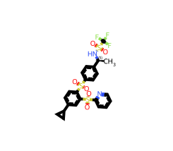 C[C@H](NS(=O)(=O)C(F)(F)F)c1ccc(S(=O)(=O)c2ccc(C3CC3)cc2S(=O)(=O)c2ccccn2)cc1